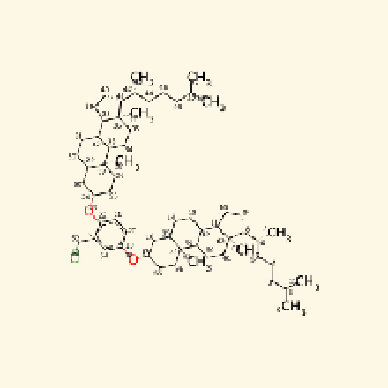 CC(C)CCC[C@@H](C)[C@H]1CCC2C3CCC4CC(Oc5ccc(OC6CC[C@@]7(C)C(CCC8C7CC[C@@]7(C)C8CC[C@@H]7[C@H](C)CCCC(C)C)C6)c(CCl)c5)CC[C@]4(C)C3CC[C@@]21C